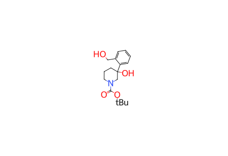 CC(C)(C)OC(=O)N1CCCC(O)(c2ccccc2CO)C1